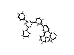 CC12C=CC=CC1c1ccc(-c3cccc(C4=N[C@H](c5ccccc5)NC(C5C=CC=CC5)=N4)c3)cc1-c1ccccc12